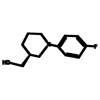 OC[C@H]1CCCN(c2ccc(F)cc2)C1